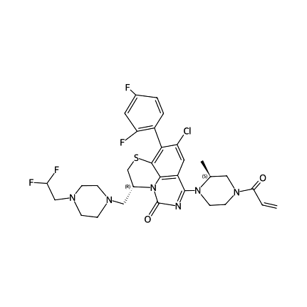 C=CC(=O)N1CCN(c2nc(=O)n3c4c(c(-c5ccc(F)cc5F)c(Cl)cc24)SC[C@H]3CN2CCN(CC(F)F)CC2)[C@@H](C)C1